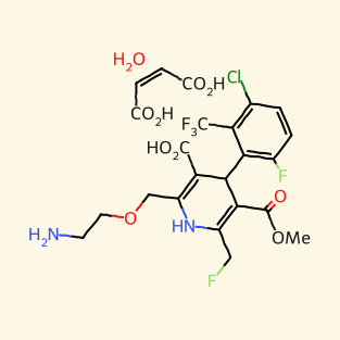 COC(=O)C1=C(CF)NC(COCCN)=C(C(=O)O)C1c1c(F)ccc(Cl)c1C(F)(F)F.O.O=C(O)/C=C\C(=O)O